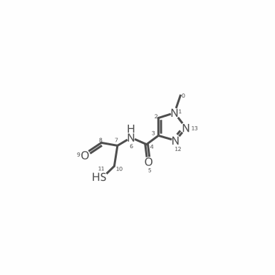 Cn1cc(C(=O)NC(C=O)CS)nn1